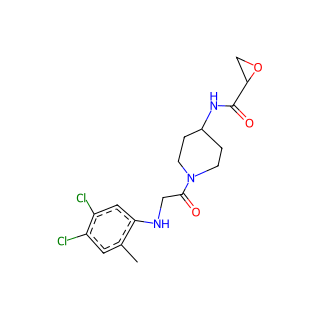 Cc1cc(Cl)c(Cl)cc1NCC(=O)N1CCC(NC(=O)C2CO2)CC1